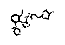 COc1cccc(OC)c1-n1c(NS(=O)(=O)CCc2ncc(Cl)cn2)nnc1[C@H]1CCCO1